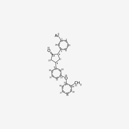 CC(=O)c1cccc(C2CC(c3cccc(Oc4ccccc4C)c3)CC2=O)c1